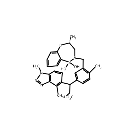 Cc1ccc(C(CC(=O)O)c2ccc3c(nnn3C)c2C)cc1CN1C[C@@H](C)Oc2ccccc2S1(O)O